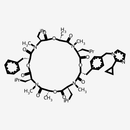 CC(C)C[C@H]1C(=O)O[C@H](Cc2ccc(Cn3ccnc3C3CC3)cc2)C(=O)N(C)[C@@H](CC(C)C)C(=O)O[C@H](C)C(=O)N(C)[C@@H](CC(C)C)C(=O)O[C@H](Cc2ccccc2)C(=O)N(C)[C@@H](CC(C)C)C(=O)O[C@H](C)C(=O)N1C